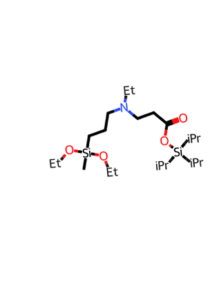 CCO[Si](C)(CCCN(CC)CCC(=O)O[Si](C(C)C)(C(C)C)C(C)C)OCC